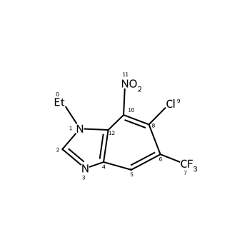 CCn1cnc2cc(C(F)(F)F)c(Cl)c([N+](=O)[O-])c21